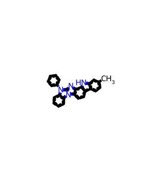 Cc1ccc2c(c1)[nH]c1c2ccc2c1nc1n(-c3ccccc3)c3ccccc3n21